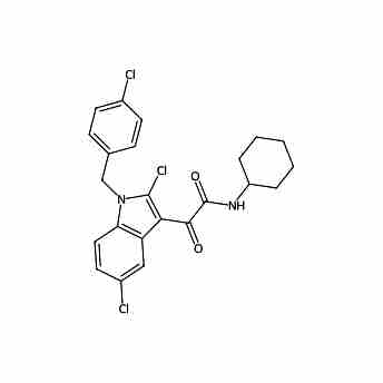 O=C(NC1CCCCC1)C(=O)c1c(Cl)n(Cc2ccc(Cl)cc2)c2ccc(Cl)cc12